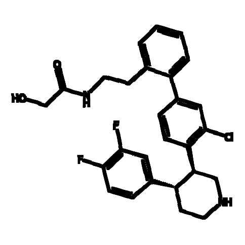 O=C(CO)NCCc1ccccc1-c1ccc([C@H]2CNCC[C@@H]2c2ccc(F)c(F)c2)c(Cl)c1